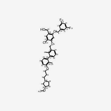 Cc1c(COc2cc(OCc3cc(F)cc(F)c3)c(CO)cc2Cl)cccc1-c1cccc(OCCCN2CC[C@@H](OI)C2)c1C